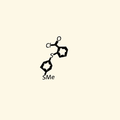 CSc1ccc(Sc2ccccc2C(=O)Cl)cc1